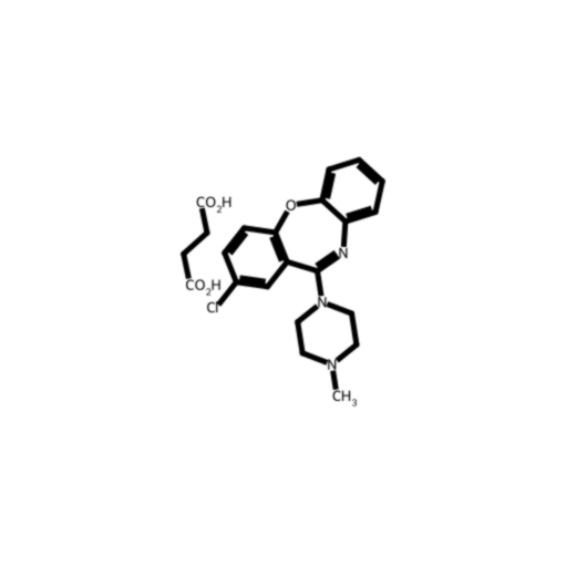 CN1CCN(C2=Nc3ccccc3Oc3ccc(Cl)cc32)CC1.O=C(O)CCC(=O)O